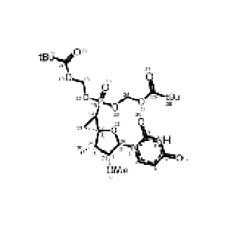 CO[C@H]1[C@H](n2ccc(=O)[nH]c2=O)O[C@@]2(CC2P(=O)(OCOC(=O)C(C)(C)C)OCOC(=O)C(C)(C)C)[C@H]1C